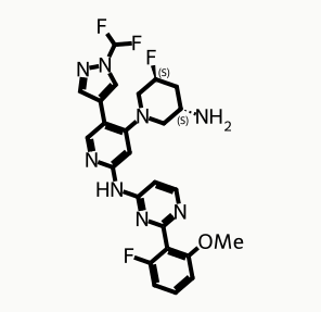 COc1cccc(F)c1-c1nccc(Nc2cc(N3C[C@@H](N)C[C@H](F)C3)c(-c3cnn(C(F)F)c3)cn2)n1